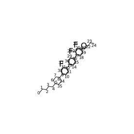 CCCCCC1CCC(c2ccc(-c3ccc(-c4ccc(OCCC)c(F)c4F)cc3)c(F)c2)CC1